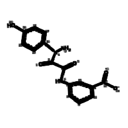 NN(C(=O)C(=O)Nc1cccc([N+](=O)[O-])c1)c1ccc(O)cc1